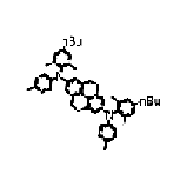 CCCCc1cc(C)c(N(c2ccc(C)cc2)c2cc3c4c(c2)CCc2cc(N(c5ccc(C)cc5)c5c(C)cc(CCCC)cc5C)cc(c2-4)CC3)c(C)c1